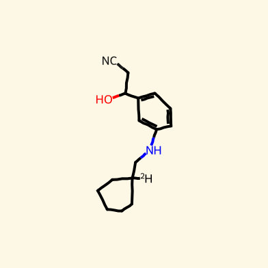 [2H]C1(CNc2cccc(C(O)CC#N)c2)CCCCC1